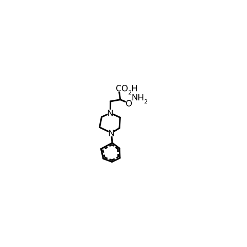 NOC(CN1CCN(c2ccccc2)CC1)C(=O)O